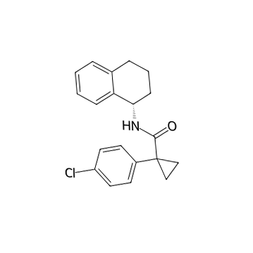 O=C(N[C@H]1CCCc2ccccc21)C1(c2ccc(Cl)cc2)CC1